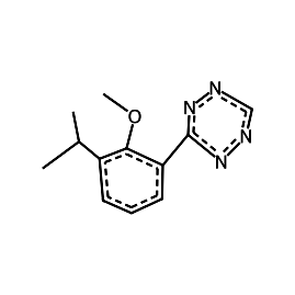 COc1c(-c2nncnn2)cccc1C(C)C